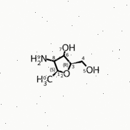 C[C@@H]1O[C@H](CO)C(O)C1N